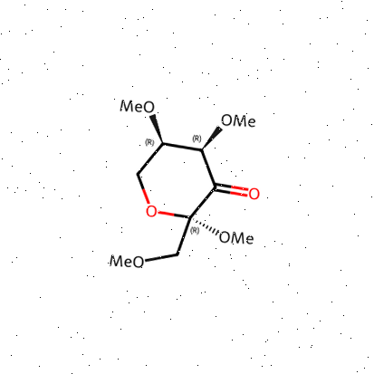 COC[C@@]1(OC)OC[C@@H](OC)[C@@H](OC)C1=O